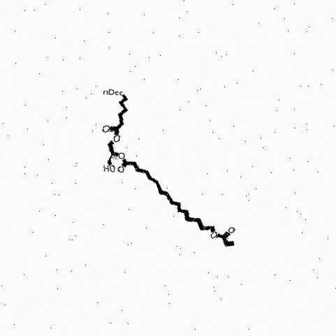 C=CC(=O)OCCCCCCCCCCCCCCCC(=O)O[C@@H](CO)COC(=O)CCCCCCCCCCCCCCC